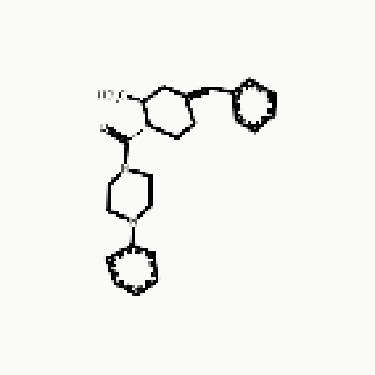 O=C(O)[C@H]1CC(=Cc2ccccc2)CC[C@@H]1C(=O)N1CCN(c2ccccc2)CC1